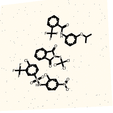 CC(C)Oc1cccc(NC(=O)c2ccccc2C(F)(F)F)c1.O=C1c2ccccc2C(=O)N1SC(Cl)(Cl)Cl.O=[N+]([O-])c1ccc(NS(=O)(=O)c2ccc(Cl)c(C(F)(F)F)c2)c(Cl)c1